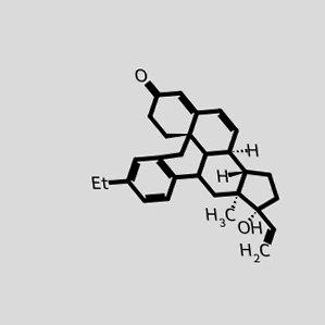 C=C[C@]1(O)CC[C@H]2[C@@H]3C=CC4=CC(=O)CC[C@@]45Cc4cc(CC)ccc4C(C[C@@]21C)C35